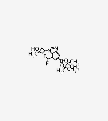 CC1(O)CC(n2cnc3cc(B4OC(C)(C)C(C)(C)O4)cc(C(F)F)c32)C1